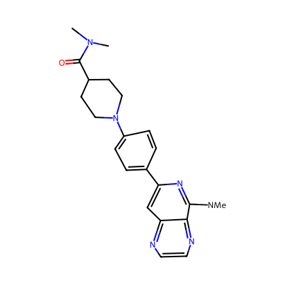 CNc1nc(-c2ccc(N3CCC(C(=O)N(C)C)CC3)cc2)cc2nccnc12